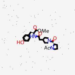 COC(=O)[C@H](Cc1ccc(O)cc1)NC(=O)CC1CCN(C(=O)[C@@H]2CCCN2C(C)=O)CC1